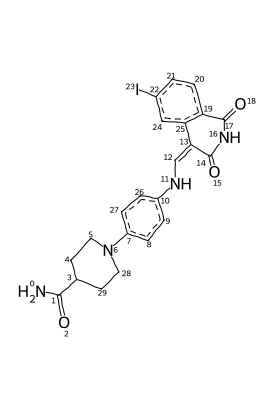 NC(=O)C1CCN(c2ccc(NC=C3C(=O)NC(=O)c4ccc(I)cc43)cc2)CC1